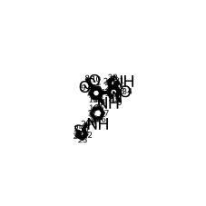 Cn1cc(-c2cc(S(C)(=O)=O)ccc2N[C@H]2CC[C@H](NCc3cccs3)CC2)c2cc[nH]c2c1=O